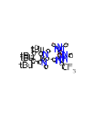 CC(C)(C)c1cc(-c2ccc3c(c2)B2c4cc(-c5cc(C(C)(C)C)cc(C(C)(C)C)c5)ccc4N(c4ccccc4)c4cc(-c5ccc6c(c5)c5cc(-c7nc(-c8ccccc8)nc(-c8ccccc8)n7)ccc5n6-c5ccc(C(F)(F)F)cc5-c5nc(-c6ccccc6)nc(-c6ccccc6)n5)cc(c42)N3c2ccccc2)cc(C(C)(C)C)c1